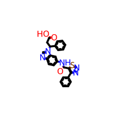 O=C(O)CC(c1ccccc1)n1cnc2ccc(NC(=O)c3snnc3-c3ccccc3)cc21